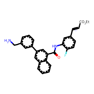 CCOC(=O)/C=C/c1ccc(F)c(NC(=O)c2cc(-c3cccc(CN)c3)cc3ccccc23)c1